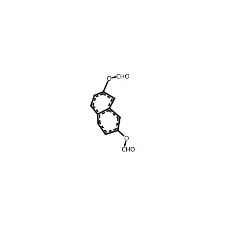 O=COc1ccc2ccc(OC=O)cc2c1